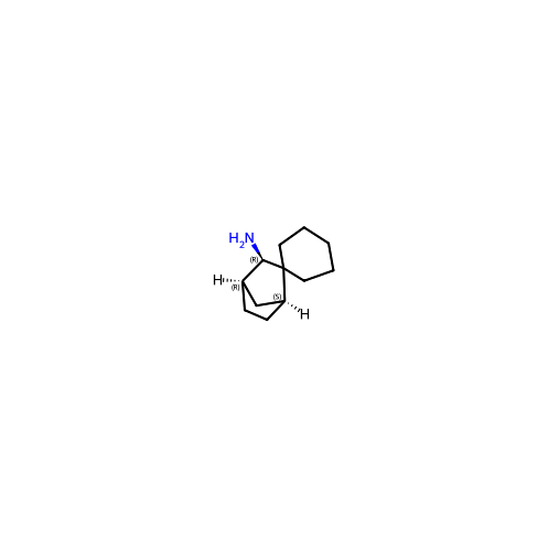 N[C@@H]1[C@@H]2CC[C@@H](C2)C12CCCCC2